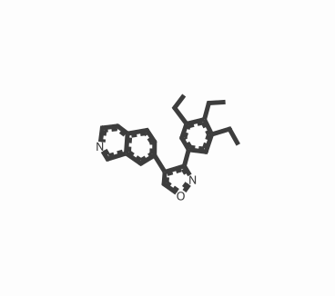 CCc1cc(-c2nocc2-c2ccc3ccncc3c2)cc(CC)c1CC